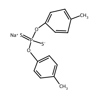 Cc1ccc(OP(=S)([S-])Oc2ccc(C)cc2)cc1.[Na+]